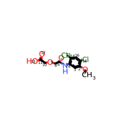 COc1cc(NC(=O)COCC(=O)O)c(Cl)cc1Cl